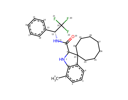 Cc1cccc2c1NC(C(=O)N[C@H](c1ccccc1)C(F)(F)F)C21CCCCCCC1